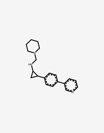 c1cncc(-c2ccc(C3CC3NCN3CCCCC3)cc2)c1